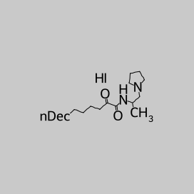 CCCCCCCCCCCCCCC(=O)C(=O)NC(C)CN1CCCC1.I